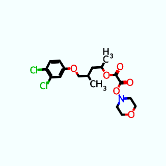 CC(COc1ccc(Cl)c(Cl)c1)CC(C)OC(=O)C(=O)ON1CCOCC1